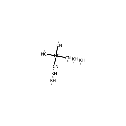 N#[C][Ni]([C]#N)([C]#N)[C]#N.[KH].[KH].[KH].[KH]